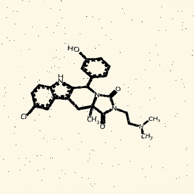 CN(C)CCN1C(=O)N2C(c3cccc(O)c3)c3[nH]c4ccc(Cl)cc4c3CC2(C)C1=O